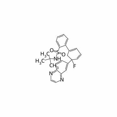 CC(C)(C)NS(=O)(=O)c1ccccc1C1=CC=CC(F)(c2ccc3nccnc3c2)C1